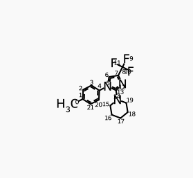 Cc1ccc(-n2cc(C(F)(F)F)nc2N2CCCCC2)cc1